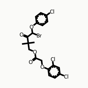 CC(C)(COC(=O)COc1ccc(Cl)cc1Cl)C(=O)C(Br)Oc1ccc(Cl)cc1